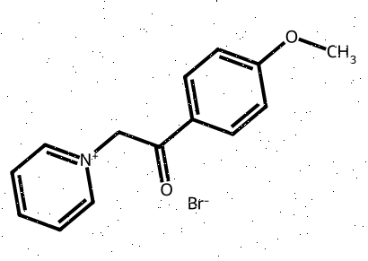 COc1ccc(C(=O)C[n+]2ccccc2)cc1.[Br-]